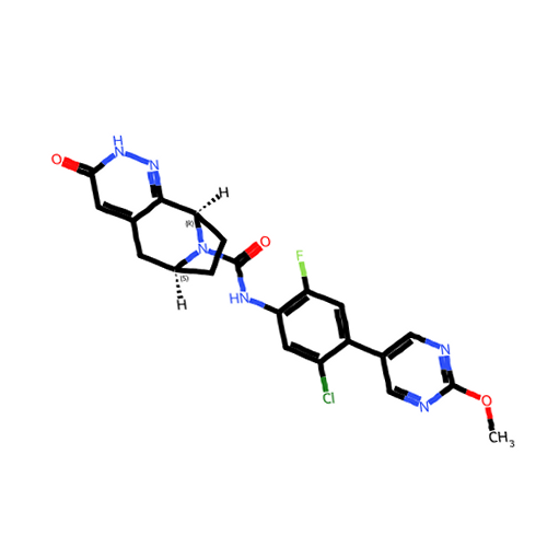 COc1ncc(-c2cc(F)c(NC(=O)N3[C@H]4CC[C@@H]3c3n[nH]c(=O)cc3C4)cc2Cl)cn1